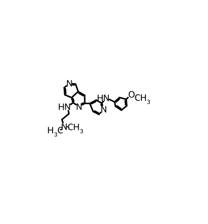 COc1cccc(Nc2cc(-c3cc4cnccc4c(NCCN(C)C)n3)ccn2)c1